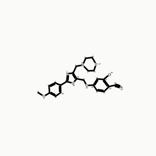 COc1ccc(-c2nc(CN3CCOCC3)c(COc3ccc(C#N)c(Cl)c3)o2)cc1